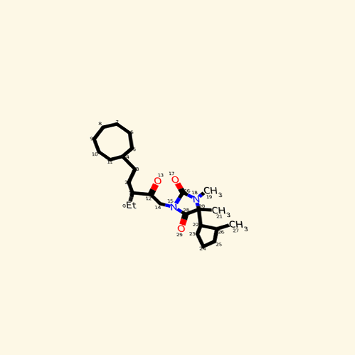 CCC(CCC1CCCCCCC1)C(=O)CN1C(=O)N(C)C(C)(C2CCCC2C)C1=O